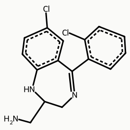 NCC1CN=C(c2ccccc2Cl)c2cc(Cl)ccc2N1